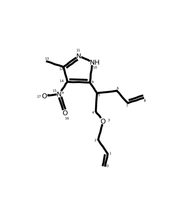 C=CCOCC(CC=C)c1[nH]nc(C)c1[N+](=O)[O-]